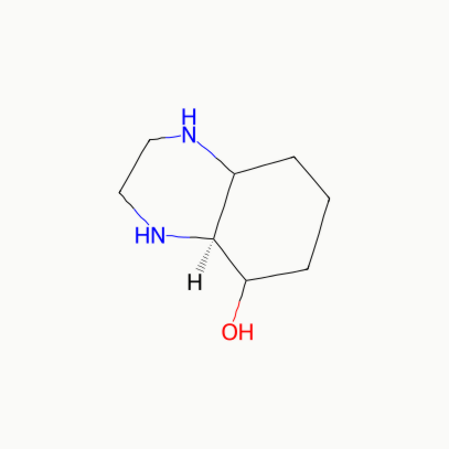 OC1CCCC2NCCN[C@H]12